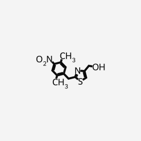 Cc1cc([N+](=O)[O-])c(C)cc1Cc1nc(CO)cs1